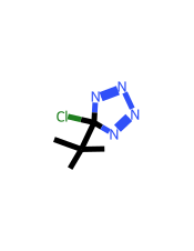 CC(C)(C)C1(Cl)N=NN=N1